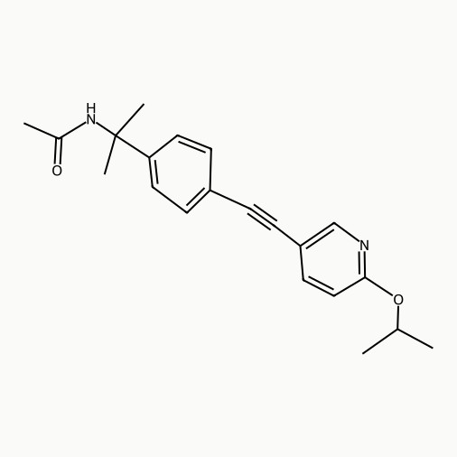 CC(=O)NC(C)(C)c1ccc(C#Cc2ccc(OC(C)C)nc2)cc1